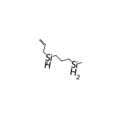 C=CC[SiH](C)CCC[SiH2]C